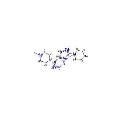 CN1CCC(c2nccn3c(N4CCCCC4)ncc23)CC1